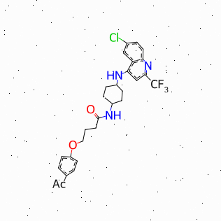 CC(=O)c1ccc(OCCCC(=O)NC2CCC(Nc3cc(C(F)(F)F)nc4ccc(Cl)cc34)CC2)cc1